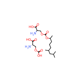 CC(C)CC(C)CCCC(C)OC(=O)OCC(N)C(=O)O.N[C@@H](COC(=O)O)C(=O)O